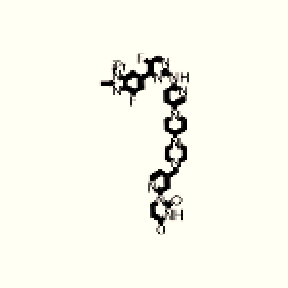 Cc1nc2c(F)cc(-c3nc(Nc4ccc(N5CCC(N6CCN(Cc7ccnc(N8CCC(=O)NC8=O)c7)CC6)CC5)cn4)ncc3F)cc2n1C(C)C